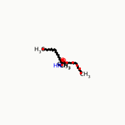 CCCCCCCC/C=C\CCCCCCCC(=O)CC(C)C(=O)CCCCCCC/C=C\CCCCCCCC.CNC